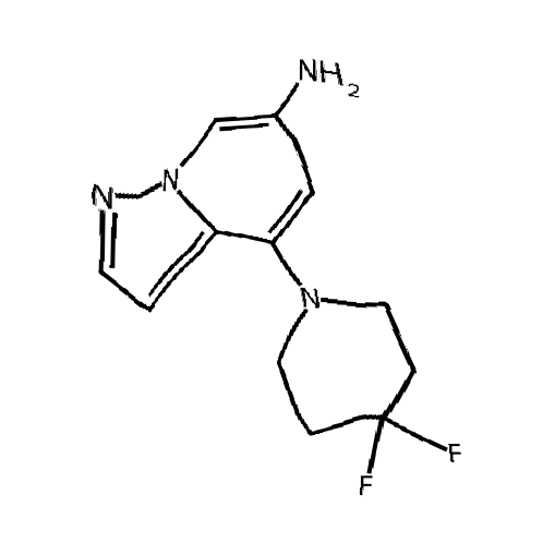 Nc1cc(N2CCC(F)(F)CC2)c2ccnn2c1